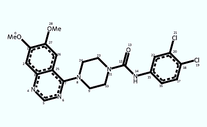 COc1cc2ncnc(N3CCN(C(=O)Nc4ccc(Cl)c(Cl)c4)CC3)c2cc1OC